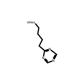 CCCCCCCCCCc1ncncn1